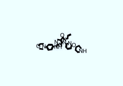 C=CCn1c(=O)c2cnc(Nc3ccc(N4CCOCC4)cc3)nc2n1-c1cccc(OC2CCNCC2)n1